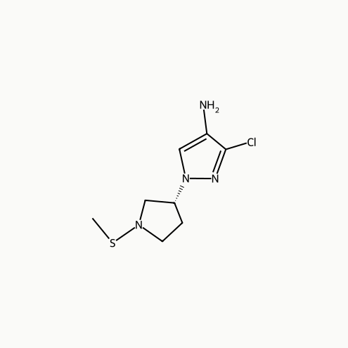 CSN1CC[C@@H](n2cc(N)c(Cl)n2)C1